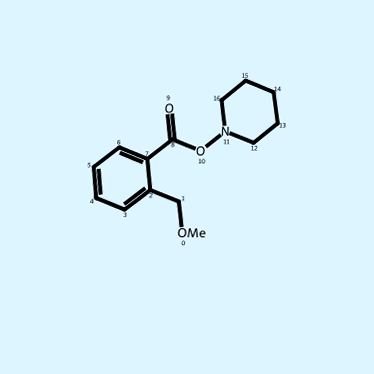 COCc1ccccc1C(=O)ON1CCCCC1